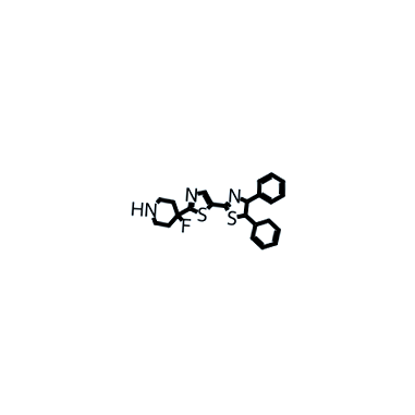 FC1(c2ncc(C3=NC(c4ccccc4)C(C4C=CC=CC4)S3)s2)CCNCC1